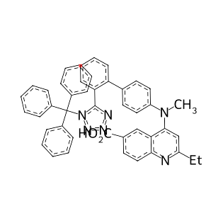 CCc1cc(N(C)c2ccc(-c3ccccc3-c3nnnn3C(c3ccccc3)(c3ccccc3)c3ccccc3)cc2)c2cc(C(=O)O)ccc2n1